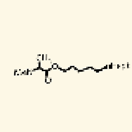 CCCCCCCCCCCCOC(=O)C(C)NC